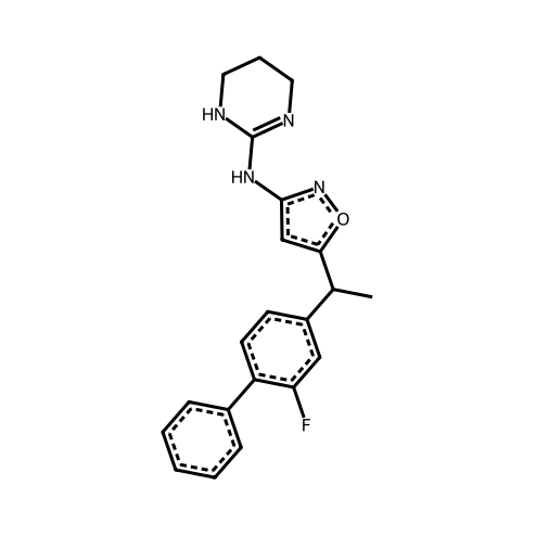 CC(c1ccc(-c2ccccc2)c(F)c1)c1cc(NC2=NCCCN2)no1